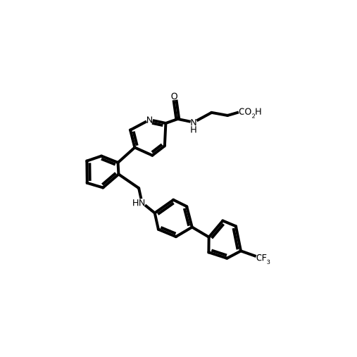 O=C(O)CCNC(=O)c1ccc(-c2ccccc2CNc2ccc(-c3ccc(C(F)(F)F)cc3)cc2)cn1